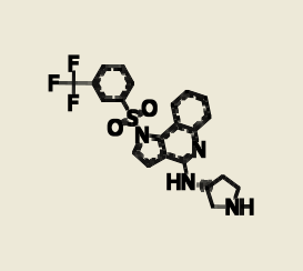 O=S(=O)(c1cccc(C(F)(F)F)c1)n1ccc2c(N[C@@H]3CCNC3)nc3ccccc3c21